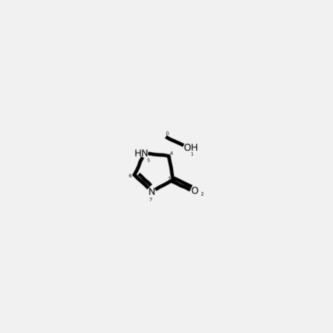 CO.O=C1CNC=N1